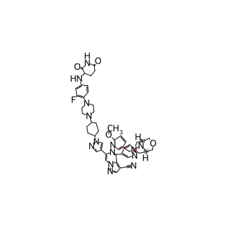 COc1ccc(CN2C[C@H]3COC[C@@H](C2)N3c2ccc(-c3nc(-c4cnn(C5CCC(N6CCN(c7ccc(NC8CCC(=O)NC8=O)cc7F)CC6)CC5)c4)cn4ncc(C#N)c34)cn2)cn1